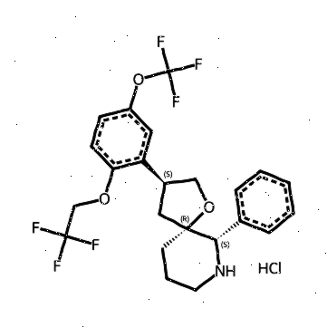 Cl.FC(F)(F)COc1ccc(OC(F)(F)F)cc1[C@H]1CO[C@]2(CCCN[C@H]2c2ccccc2)C1